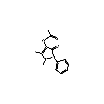 CC(=S)Oc1c(C)n(C)n(-c2ccccc2)c1=O